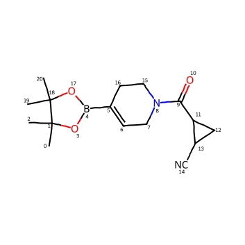 CC1(C)OB(C2=CCN(C(=O)C3CC3C#N)CC2)OC1(C)C